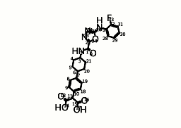 O=C(NC1CCC(c2ccc(C(C(=O)O)C(=O)O)cc2)CC1)c1nnc(Nc2ccccc2F)o1